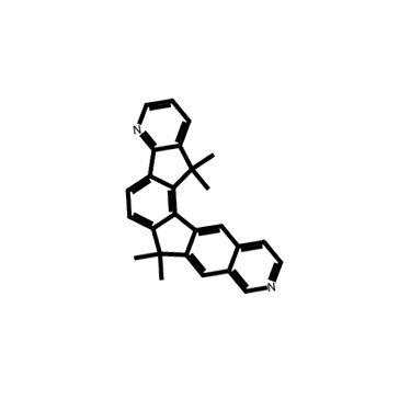 CC1(C)c2cc3cnccc3cc2-c2c1ccc1c2C(C)(C)c2cccnc2-1